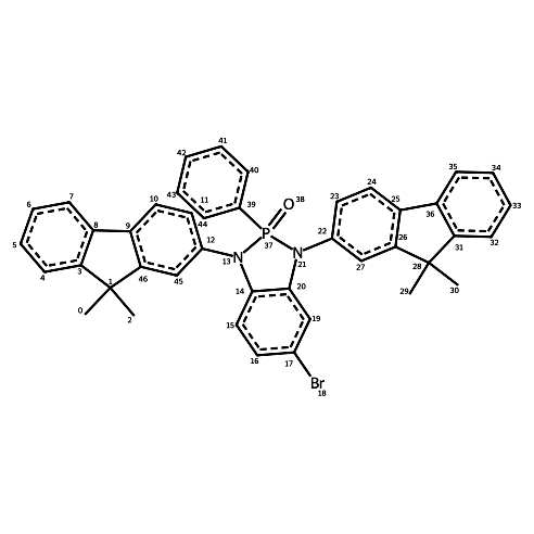 CC1(C)c2ccccc2-c2ccc(N3c4ccc(Br)cc4N(c4ccc5c(c4)C(C)(C)c4ccccc4-5)P3(=O)c3ccccc3)cc21